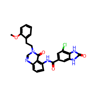 COc1ccccc1CCn1cnc2cccc(NC(=O)c3cc(Cl)c4[nH]c(=O)[nH]c4c3)c2c1=O